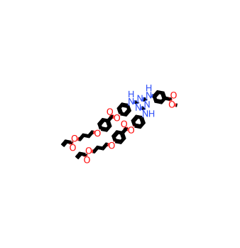 C=CC(=O)OCCCCOc1ccc(C(=O)Oc2ccc(Nc3nc(Nc4ccc(OC(=O)c5ccc(OCCCCOC(=O)C=C)cc5)cc4)nc(Nc4ccc(C(=O)OC)cc4)n3)cc2)cc1